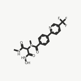 CNC(=O)C(C(=O)NO)N(C)C(=O)c1ccc(-c2ccc(C(F)(F)F)cn2)cc1